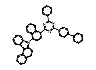 c1ccc(-c2ccc(-c3nc(-c4ccccc4)nc(-c4ccc(-n5c6ccccc6c6c7ccccc7ccc65)c5ccccc45)n3)cc2)cc1